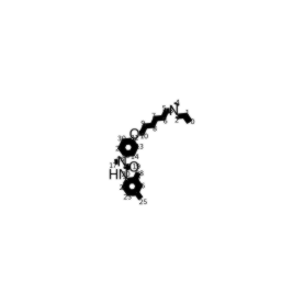 C=CCN(C)CCCCCCOc1ccc(N(C)C(=O)Nc2ccc(C)cc2C)cc1